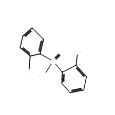 O=P(S)(c1ccccc1C(F)(F)F)c1ccccc1C(F)(F)F